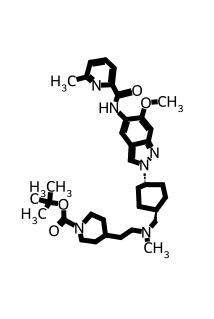 COc1cc2nn([C@H]3CC[C@H](CN(C)CCC4CCN(C(=O)OC(C)(C)C)CC4)CC3)cc2cc1NC(=O)c1cccc(C)n1